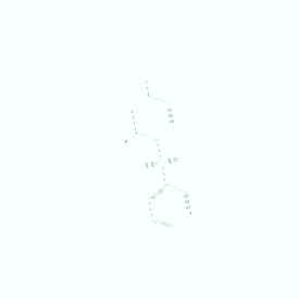 CC1C=CC(S(=O)(=O)c2ccccc2)[C@@H](O)C1